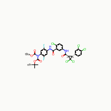 CCCC(C)(C)OC(=O)N(C(=O)OC(C)(C)C)c1cc(F)c(NC(=O)c2cc(NC(=O)[C@H]3[C@H](c4ccc(Cl)c(Cl)c4)C3(Cl)Cl)ccc2Cl)cc1F